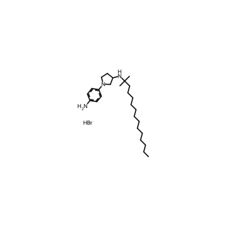 Br.CCCCCCCCCCCCCC(C)(C)NC1CCN(c2ccc(N)cc2)C1